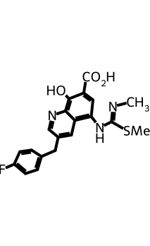 CN=C(Nc1cc(C(=O)O)c(O)c2ncc(Cc3ccc(F)cc3)cc12)SC